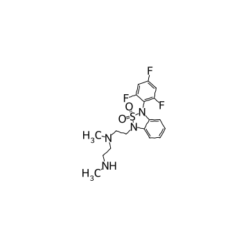 CNCCN(C)CCN1c2ccccc2N(c2c(F)cc(F)cc2F)S1(=O)=O